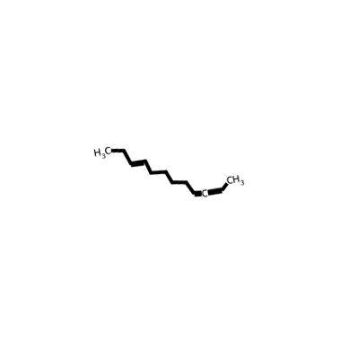 CC=C=CCCCCC=CCC